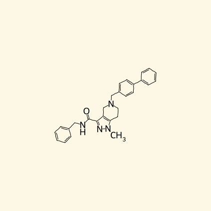 Cn1nc(C(=O)NCc2ccccc2)c2c1CCN(Cc1ccc(-c3ccccc3)cc1)C2